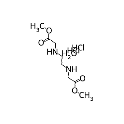 COC(=O)CNCCNCC(=O)OC.Cl.Cl.O